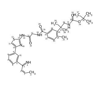 C/C=C\C(=N)c1cccc(-c2csc(NC(=O)CNC(=O)c3ccc(C)c(C(C)(C)CNC(=O)OC(C)(C)C)c3)n2)c1